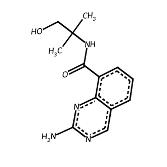 CC(C)(CO)NC(=O)c1cccc2cnc(N)nc12